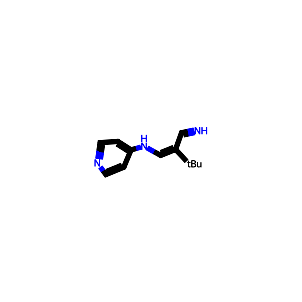 CC(C)(C)/C(C=N)=C/Nc1ccncc1